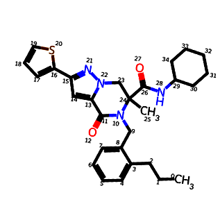 CCCc1ccccc1CN1C(=O)c2cc(-c3cccs3)nn2CC1(C)C(=O)NC1CCCCC1